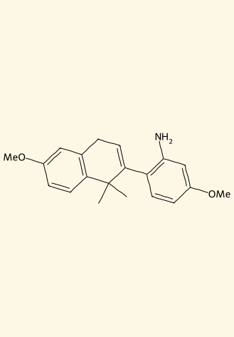 COc1ccc(C2=CCc3cc(OC)ccc3C2(C)C)c(N)c1